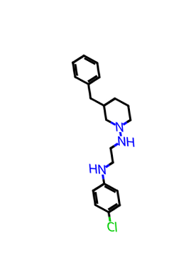 Clc1ccc(NCCNN2CCCC(Cc3ccccc3)C2)cc1